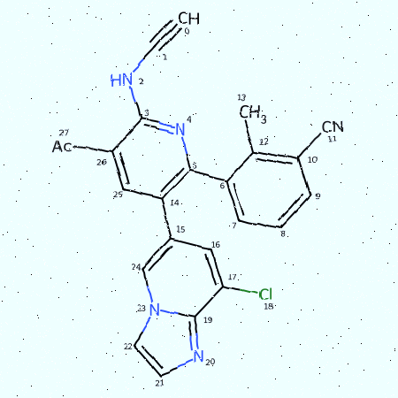 C#CNc1nc(-c2cccc(C#N)c2C)c(-c2cc(Cl)c3nccn3c2)cc1C(C)=O